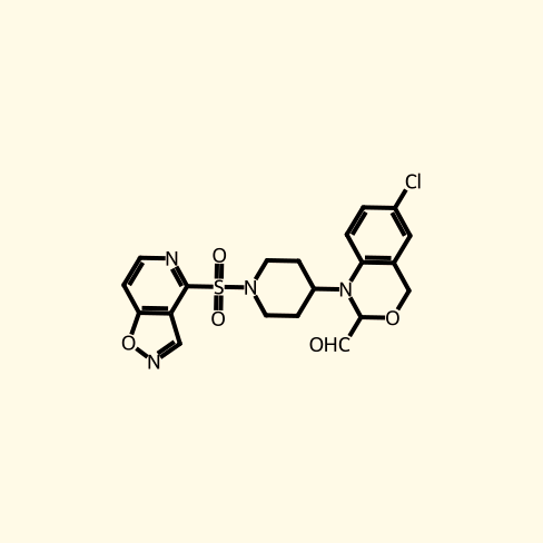 O=CC1OCc2cc(Cl)ccc2N1C1CCN(S(=O)(=O)c2nccc3oncc23)CC1